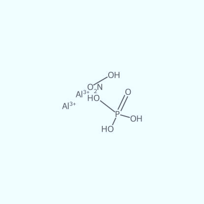 O=P(O)(O)O.O=[N+]([O-])O.[Al+3].[Al+3]